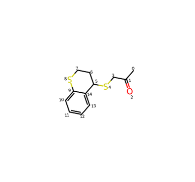 CC(=O)CSC1CCSc2ccccc21